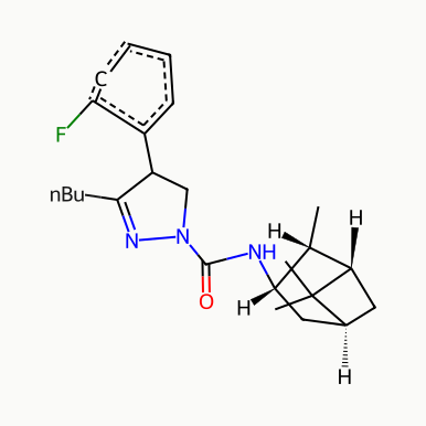 CCCCC1=NN(C(=O)N[C@H]2C[C@@H]3C[C@@H]([C@H]2C)C3(C)C)CC1c1ccccc1F